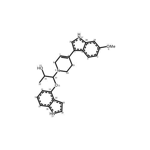 COc1ccc2c(C3=CCN(C(Oc4cccc5[nH]ccc45)C(C)O)CC3)c[nH]c2c1